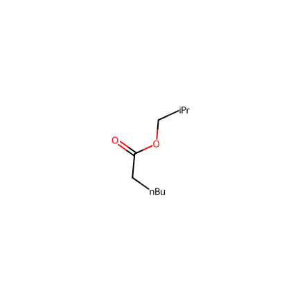 [CH2]CCCCC(=O)OCC(C)C